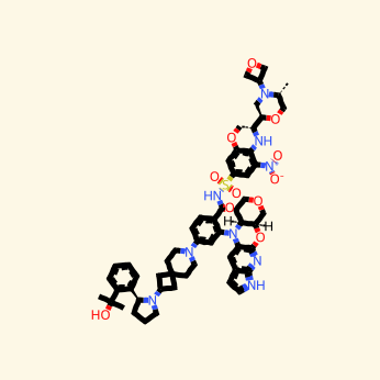 C[C@@H]1CO[C@@H]([C@H]2COc3cc(S(=O)(=O)NC(=O)c4ccc(N5CCC6(CC5)CC(N5CCC[C@H]5c5ccccc5C(C)(C)O)C6)cc4N4c5cc6cc[nH]c6nc5O[C@@H]5COCC[C@@H]54)cc([N+](=O)[O-])c3N2)CN1C1COC1